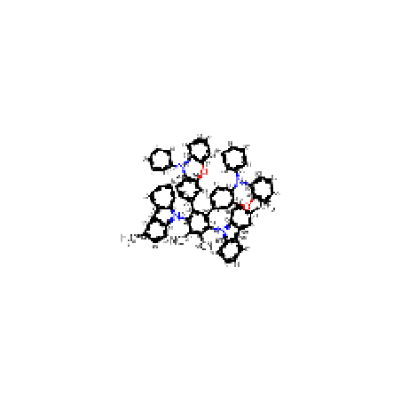 N#Cc1c(C#N)c(-n2c3ccccc3c3cc(C(F)(F)F)ccc32)c(-c2ccc3c(c2)Oc2ccccc2N3c2ccccc2)c(-c2ccc3c(c2)Oc2ccccc2N3c2ccccc2)c1-n1c2ccccc2c2cc(C(F)(F)F)ccc21